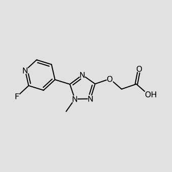 Cn1nc(OCC(=O)O)nc1-c1ccnc(F)c1